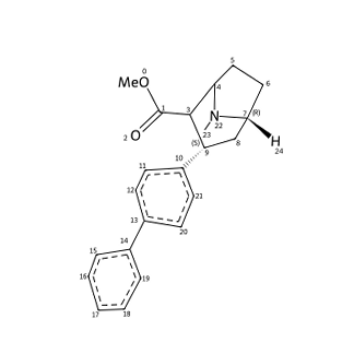 COC(=O)C1C2CC[C@H](C[C@@H]1c1ccc(-c3ccccc3)cc1)N2C